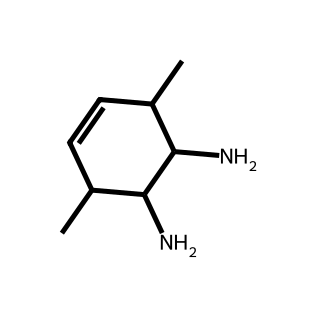 CC1C=CC(C)C(N)C1N